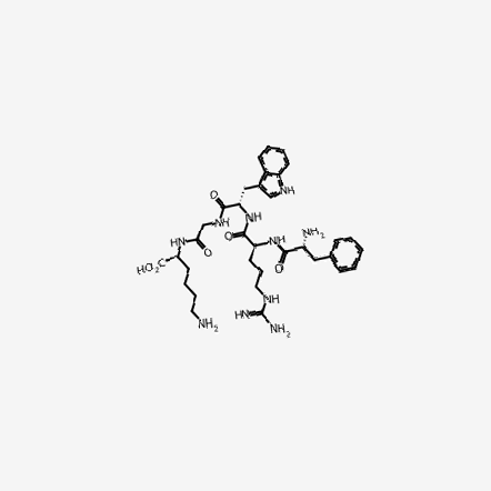 N=C(N)NCCC[C@H](NC(=O)[C@H](N)Cc1ccccc1)C(=O)N[C@@H](Cc1c[nH]c2ccccc12)C(=O)NCC(=O)N[C@@H](CCCCN)C(=O)O